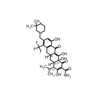 CN(C)[C@@H]1C(O)=C(C(N)=O)C(=O)[C@@]2(O)C(O)=C3C(=O)c4c(O)cc(CN5CCCC(C)(C)C5)c(C(F)(F)F)c4C[C@H]3C[C@@H]12